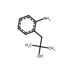 CC(C)(O)Cc1ccccc1N